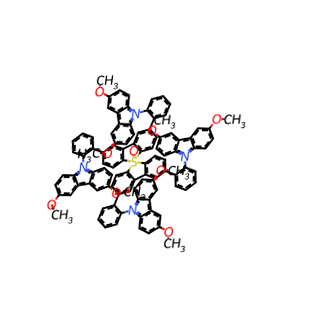 COc1ccc2c(c1)c1cc(OC)ccc1n2-c1ccccc1-c1ccc2c(c1)-c1cc(-c3ccccc3-n3c4ccc(OC)cc4c4cc(OC)ccc43)ccc1S21(=O)c2ccc(-c3ccccc3-n3c4ccc(OC)cc4c4cc(OC)ccc43)cc2-c2cc(-c3ccccc3-n3c4ccc(OC)cc4c4cc(OC)ccc43)ccc21